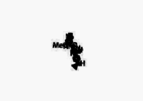 COc1cc2nn(C)cc2cc1NC(=O)c1cnc(N2CCC(NC3CC3)CC2)c2cn(C)nc12